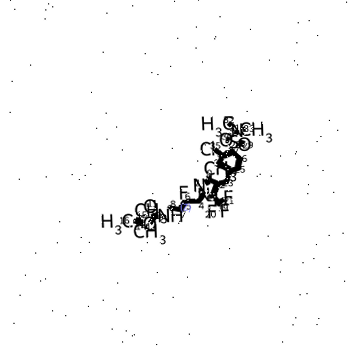 Cc1nn(C/C(F)=C/CNC(=O)OC(C)(C)C)c(C(F)(F)F)c1Cc1ccc(S(=O)(=O)N(C)C)c(Cl)c1